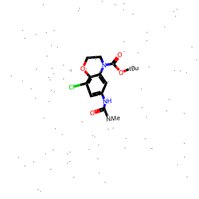 CNC(=O)Nc1cc(Cl)c2c(c1)N(C(=O)OC(C)(C)C)CCO2